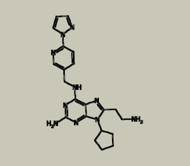 NCCc1nc2c(NCc3ccc(-n4cccn4)nc3)nc(N)nc2n1C1CCCC1